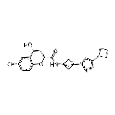 O=C(NC12CC(n3cc(C4CCC4)cn3)(C1)C2)[C@H]1C[C@@H](O)c2cc(Cl)ccc2O1